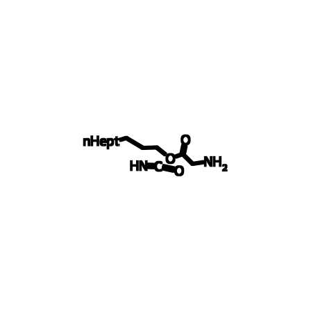 CCCCCCCCCCOC(=O)CN.N=C=O